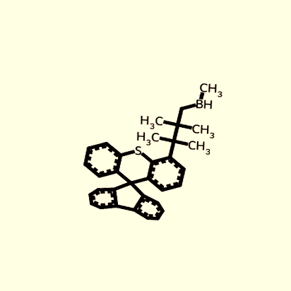 CBCC(C)(C)C(C)(C)c1cccc2c1Sc1ccccc1C21c2ccccc2-c2ccccc21